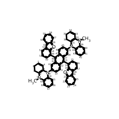 CN1C2=C(C=CCC2)N(c2ccc3c(-c4cccc5c4oc4ccccc45)c4cc(N5C6=C(C=CCC6)N(C)c6ccccc65)ccc4c(-c4cccc5c4oc4ccccc45)c3c2)c2ccccc21